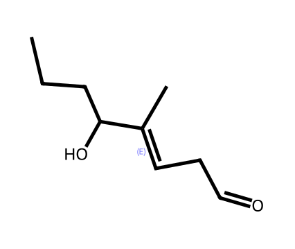 CCCC(O)/C(C)=C/CC=O